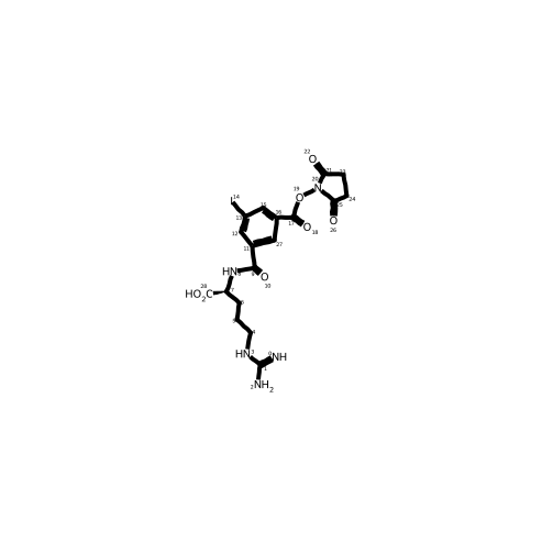 N=C(N)NCCC[C@H](NC(=O)c1cc(I)cc(C(=O)ON2C(=O)CCC2=O)c1)C(=O)O